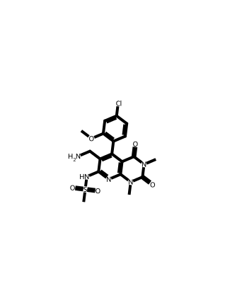 COc1cc(Cl)ccc1-c1c(CN)c(NS(C)(=O)=O)nc2c1c(=O)n(C)c(=O)n2C